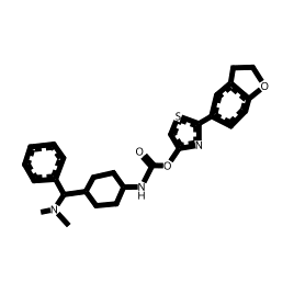 CN(C)C(c1ccccc1)C1CCC(NC(=O)Oc2csc(-c3ccc4c(c3)CCO4)n2)CC1